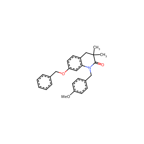 COc1ccc(CN2C(=O)C(C)(C)Cc3ccc(OCc4ccccc4)cc32)cc1